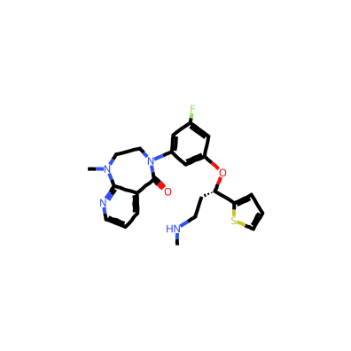 CNCC[C@H](Oc1cc(F)cc(N2CCN(C)c3ncccc3C2=O)c1)c1cccs1